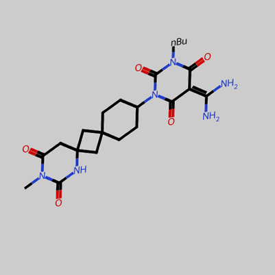 CCCCN1C(=O)C(=C(N)N)C(=O)N(C2CCC3(CC2)CC2(CC(=O)N(C)C(=O)N2)C3)C1=O